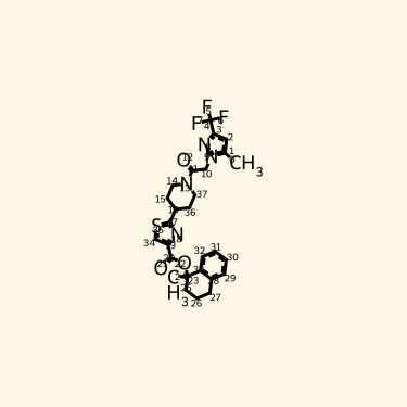 Cc1cc(C(F)(F)F)nn1CC(=O)N1CCC(c2nc(C(=O)OC3(C)CCCc4ccccc43)cs2)CC1